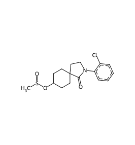 CS(=O)OC1CCC2(CC1)CCN(c1ccccc1Cl)C2=O